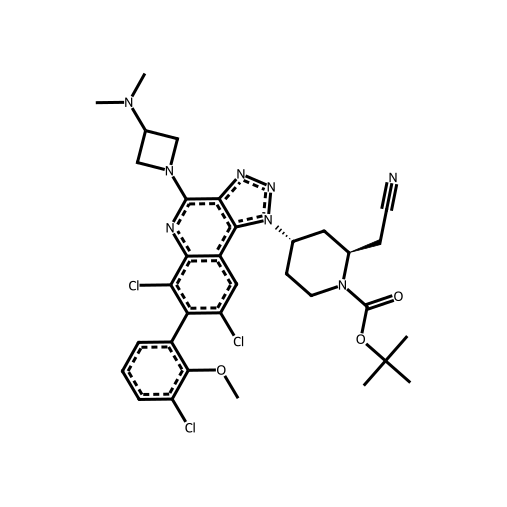 COc1c(Cl)cccc1-c1c(Cl)cc2c(nc(N3CC(N(C)C)C3)c3nnn([C@H]4CCN(C(=O)OC(C)(C)C)[C@H](CC#N)C4)c32)c1Cl